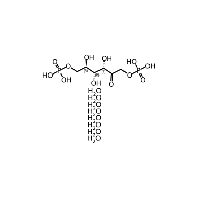 O.O.O.O.O.O.O.O.O=C(COP(=O)(O)O)[C@@H](O)[C@H](O)[C@H](O)COP(=O)(O)O